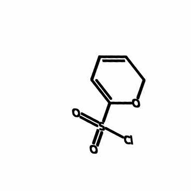 O=S(=O)(Cl)C1=CC=CCO1